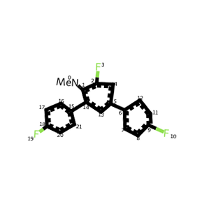 CNc1c(F)cc(-c2ccc(F)cc2)cc1-c1ccc(F)cc1